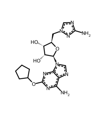 Nc1ncn(C[C@H]2O[C@@H](n3cnc4c(N)nc(OC5CCCC5)nc43)[C@H](O)[C@@H]2O)n1